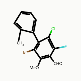 COc1c(Br)c(-c2ccccc2C)c(Cl)c(F)c1C=O